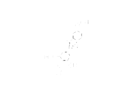 COc1ccc2nn(-c3cc(C)c(OC=O)c(C)c3)nc2c1